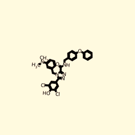 CN(C)c1cccc(Cn2c(C(=O)NCc3ccc(Oc4ccccc4)cc3)nnc2-c2cc(Cl)c(O)c(Cl)c2)c1